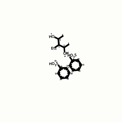 CCC(C(C)O)C(C)O.O=S(=O)(O)c1ccccc1.O=S(=O)(O)c1ccccc1